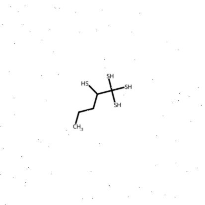 CCCC(S)C(S)(S)S